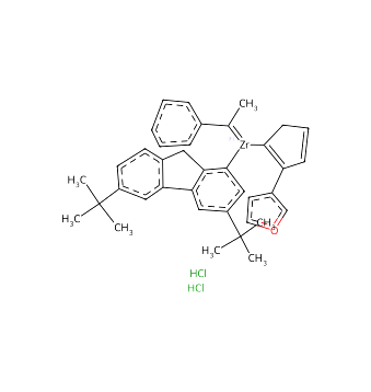 C/[C](c1ccccc1)=[Zr](\[C]1=C(c2ccoc2)C=CC1)[c]1cc(C(C)(C)C)cc2c1Cc1ccc(C(C)(C)C)cc1-2.Cl.Cl